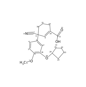 COc1ccc(C2(C#N)C=C(C(=O)O)CCC2)cc1OC1CCCC1